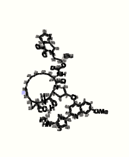 COc1ccc2c(OC3CC4C(=O)N[C@]5(C(=O)O)CC5/C=C\CCCCC[C@H](NC(=O)O[C@H](CN5Cc6sccc6S5(=O)=O)C(C)(C)C)C(=O)N4C3)cc(-c3csc(NC(C)C)n3)nc2c1